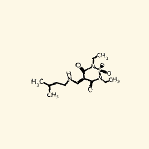 CCN1C(=O)C(=CNCCC(C)C)C(=O)N(CC)S1(=O)=O